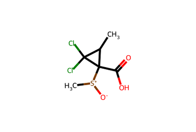 CC1C(Cl)(Cl)C1(C(=O)O)[S+](C)[O-]